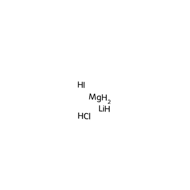 Cl.I.[LiH].[MgH2]